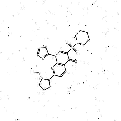 CC[C@H]1CCCN1c1ccc2c(=O)c(S(=O)(=O)N3CCCCC3)cn(-c3nccs3)c2n1